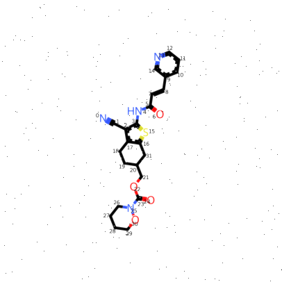 N#Cc1c(NC(=O)C=Cc2cccnc2)sc2c1CCC(COC(=O)N1CCCCO1)C2